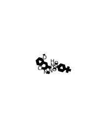 COc1ccccc1Cc1c(Cl)ncnc1NS(=O)(=O)c1ccc(C(C)(C)C)cc1